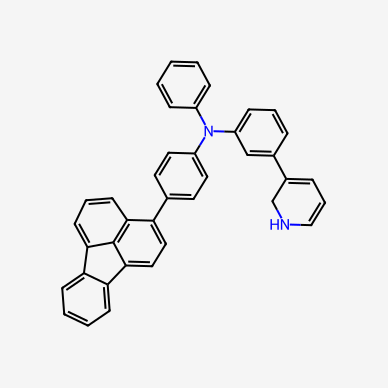 C1=CNCC(c2cccc(N(c3ccccc3)c3ccc(-c4ccc5c6c(cccc46)-c4ccccc4-5)cc3)c2)=C1